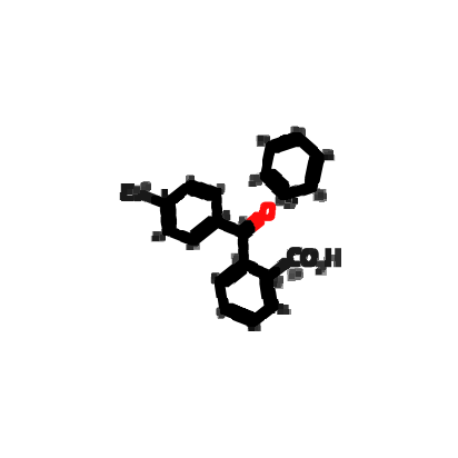 CCc1ccc(C(=O)c2ccccc2C(=O)O)cc1.c1ccccc1